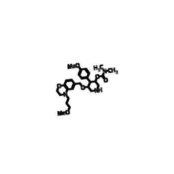 COCCCN1CCOc2ccc(COC3CNCC(OC(=O)N(C)C)C3c3ccc(OC)cc3)cc21